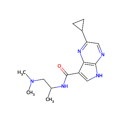 CC(CN(C)C)NC(=O)c1c[nH]c2ncc(C3CC3)nc12